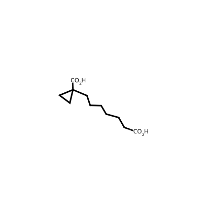 O=C(O)CCCCCCC1(C(=O)O)CC1